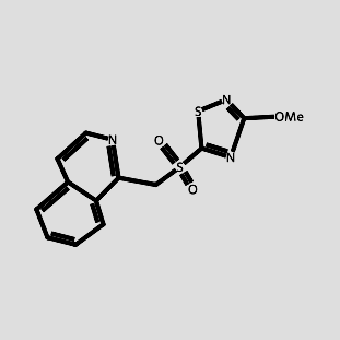 COc1nsc(S(=O)(=O)Cc2nccc3ccccc23)n1